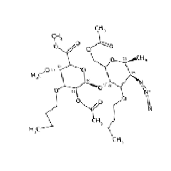 CCCCOC1[C@H](O[C@@H]2OC(C(=O)OC)[C@@H](OC)C(OCCCC)[C@@H]2OC(C)=O)C(COC(C)=O)O[C@@H](C)[C@H]1N=[N+]=[N-]